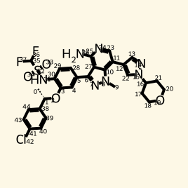 C[C@H](Oc1cc(-c2nn(C)c3c(-c4cnn(C5CCOCC5)c4)cnc(N)c23)ccc1NS(=O)(=O)C(F)F)c1ccc(Cl)cc1